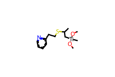 C[O][Ti]([CH3])([CH2]C(C)SCCc1ccccn1)[O]C